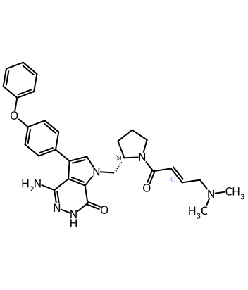 CN(C)C/C=C/C(=O)N1CCC[C@H]1Cn1cc(-c2ccc(Oc3ccccc3)cc2)c2c(N)n[nH]c(=O)c21